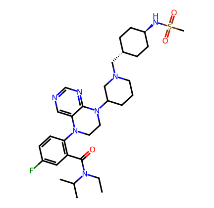 CCN(C(=O)c1cc(F)ccc1N1CCN(C2CCCN(C[C@H]3CC[C@H](NS(C)(=O)=O)CC3)C2)c2ncncc21)C(C)C